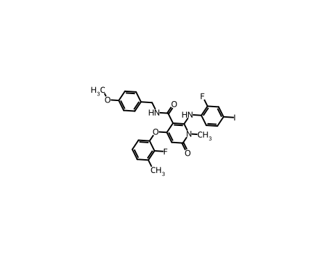 COc1ccc(CNC(=O)c2c(Oc3cccc(C)c3F)cc(=O)n(C)c2Nc2ccc(I)cc2F)cc1